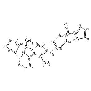 Cc1cc(S(C)(c2ccccc2)c2ccccc2)ccc1Oc1ccc(C(=O)c2cccs2)cc1